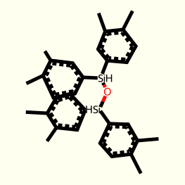 Cc1ccc([SiH](O[SiH](c2ccc(C)c(C)c2)c2ccc(C)c(C)c2)c2ccc(C)c(C)c2)cc1C